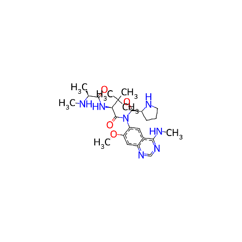 CNc1ncnc2cc(OC)c(N(C(=O)[C@@H]3CCCN3)C(=O)[C@@H](NC(=O)[C@H](C)NC)C(C)(C)C)cc12